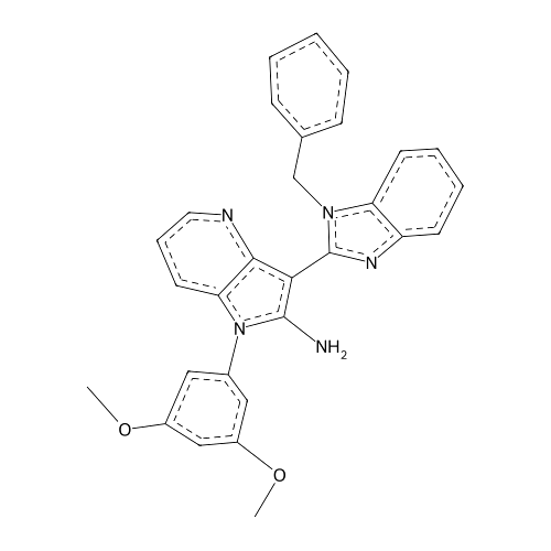 COc1cc(OC)cc(-n2c(N)c(-c3nc4ccccc4n3Cc3ccccc3)c3ncccc32)c1